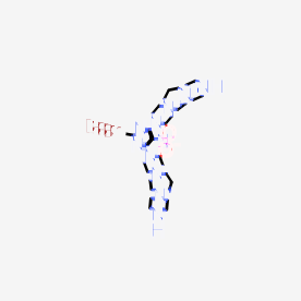 Cc1nc(N2CC[N+]3(CCC[N+]4(CCNCC4)CC3)CC2)c([N+](=O)[O-])c(N2CC[N+]3(CCC[N+]4(CCNCC4)CC3)CC2)n1.[Br-].[Br-].[Br-].[Br-]